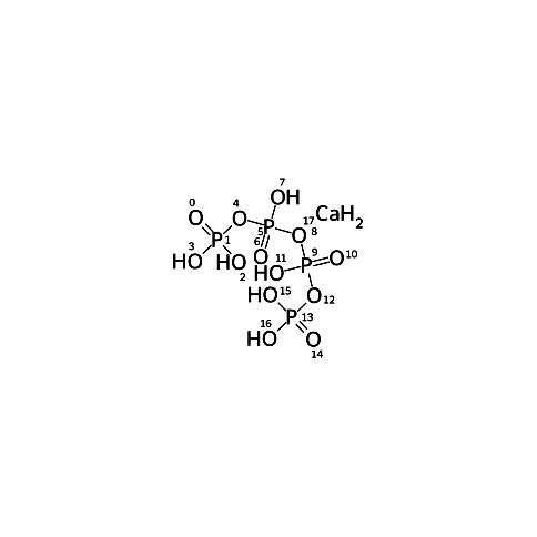 O=P(O)(O)OP(=O)(O)OP(=O)(O)OP(=O)(O)O.[CaH2]